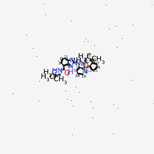 CC(C)(C)CNC(=O)c1cccc2nc(Nc3cccnc3Oc3ccccc3C(C)(C)C)[nH]c12